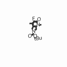 Cc1c2c(n(C)c(=O)c1F)CN(C(=O)OC(C)(C)C)C2